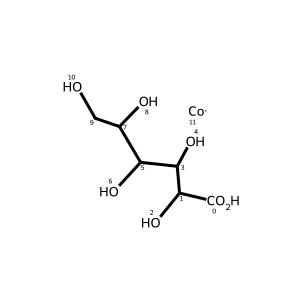 O=C(O)C(O)C(O)C(O)C(O)CO.[Co]